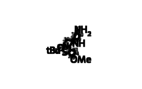 COc1ccc(C2c3[nH]c4ccc(N)cc4c3CCN2C(=S)OC(C)(C)C)cc1